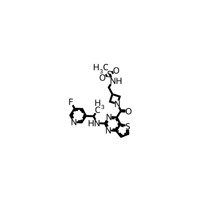 CC(Nc1nc(C(=O)N2CC(CNS(C)(=O)=O)C2)c2sccc2n1)c1cncc(F)c1